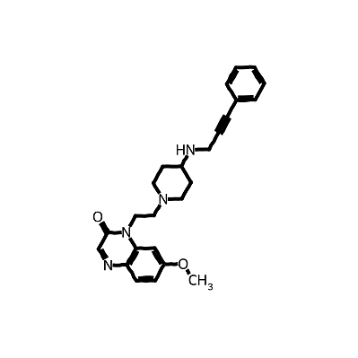 COc1ccc2ncc(=O)n(CCN3CCC(NCC#Cc4ccccc4)CC3)c2c1